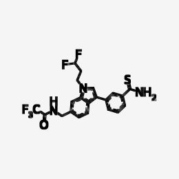 NC(=S)c1cccc(-c2cn(CCC(F)F)c3cc(CNC(=O)C(F)(F)F)ccc23)c1